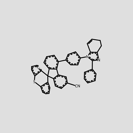 N#Cc1ccc2c(c1)-c1c(-c3ccc(-n4c(-c5ccccc5)nc5c4C=CCC5)cc3)cccc1C21c2ccccc2Sc2ccccc21